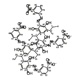 CCC(C)c1cc(C(CC)c2cc(C(CC)c3cc(C(CC)c4ccc(O)c(N=Nc5cccc([N+](=O)[O-])c5)c4O)c(O)c(N=Nc4cccc([N+](=O)[O-])c4)c3O)c(O)c(N=Nc3cccc([N+](=O)[O-])c3)c2O)c(O)c(N=Nc2cccc([N+](=O)[O-])c2)c1O